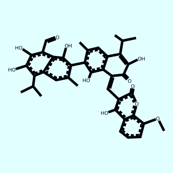 COc1cccc2c(O)c(/C=C3\C(=O)C(O)=C(C(C)C)c4cc(C)c(-c5c(C)cc6c(C(C)C)c(O)c(O)c(C=O)c6c5O)c(O)c43)c(=O)oc12